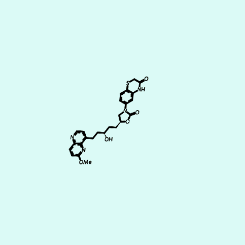 COc1ccc2nccc(CC[C@@H](O)CC[C@H]3CN(c4ccc5c(c4)NC(=O)CS5)C(=O)O3)c2n1